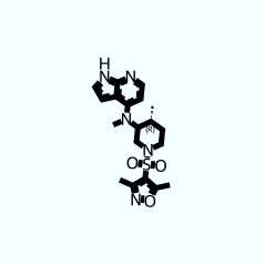 Cc1noc(C)c1S(=O)(=O)N1CC[C@@H](C)C(N(C)c2ccnc3[nH]ccc23)C1